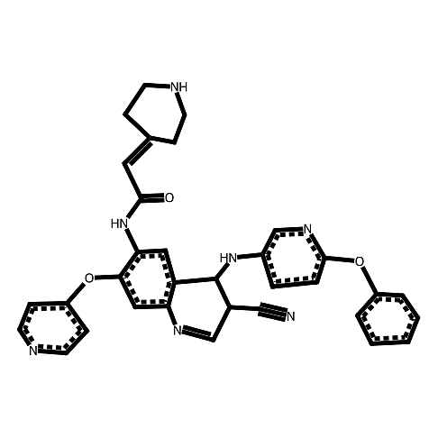 N#CC1C=Nc2cc(Oc3ccncc3)c(NC(=O)C=C3CCNCC3)cc2C1Nc1ccc(Oc2ccccc2)nc1